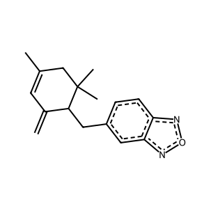 C=C1C=C(C)CC(C)(C)C1Cc1ccc2nonc2c1